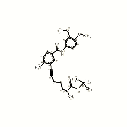 COc1ccc(NC(=O)c2ccc(N)c(C#CCCCN(C)C(=O)OC(C)(C)C)c2)cc1OC